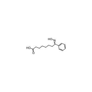 O=C(O)CCCCCC/C(=N\O)c1ccccc1